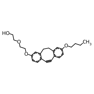 CCCCOc1ccc2c(c1)CCc1cc(OCCOCCO)ccc1C#C2